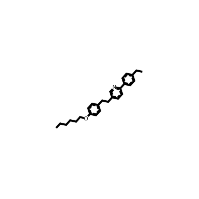 CCCCCCOc1ccc(CCc2ccc(-c3ccc(CC)cc3)nc2)cc1